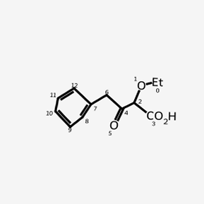 CCOC(C(=O)O)C(=O)Cc1ccccc1